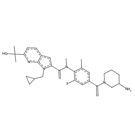 C=C(c1cc2ccc(C(C)(C)O)nc2n1CC1CC1)N(C)c1c(C)cc(C(=O)N2CCCC(N)C2)cc1F